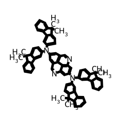 CC1(C)c2ccccc2-c2cc(N(c3ccc4c(c3)-c3ccccc3C4(C)C)c3cc4cnc5cc(N(c6ccc7c(c6)-c6ccccc6C7(C)C)c6ccc7c(c6)-c6ccccc6C7(C)C)cc6ncc(c3)c4c56)ccc21